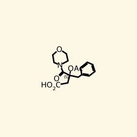 CC(=O)O[C@](CC(=O)O)(Cc1ccccc1)C(=O)N1CCOCC1